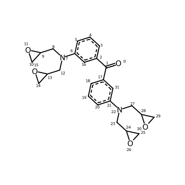 O=C(c1cccc(N(CC2CO2)CC2CO2)c1)c1cccc(N(CC2CO2)CC2CO2)c1